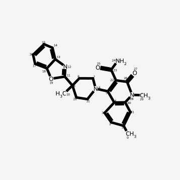 Cc1ccc2c(N3CCC(C)(c4nc5ccccc5o4)CC3)c(C(N)=O)c(=O)n(C)c2c1